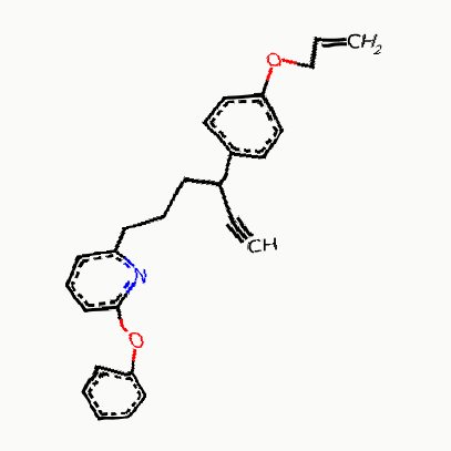 C#CC(CCCc1cccc(Oc2ccccc2)n1)c1ccc(OCC=C)cc1